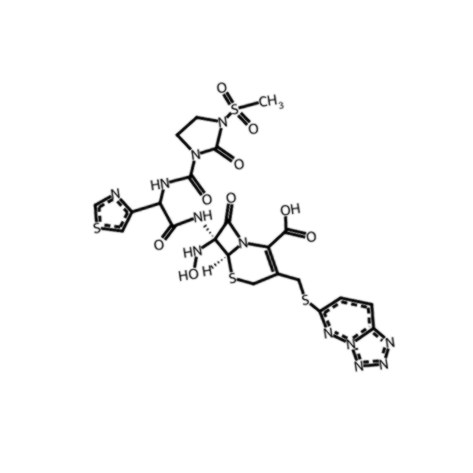 CS(=O)(=O)N1CCN(C(=O)NC(C(=O)N[C@]2(NO)C(=O)N3C(C(=O)O)=C(CSc4ccc5nnnn5n4)CS[C@H]32)c2cscn2)C1=O